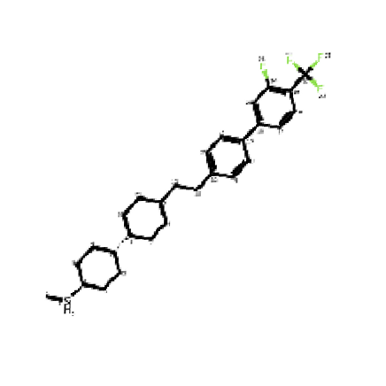 C[SiH2][C@H]1CC[C@H](C2CCC(CCc3ccc(-c4ccc(C(F)(F)F)c(F)c4)cc3)CC2)CC1